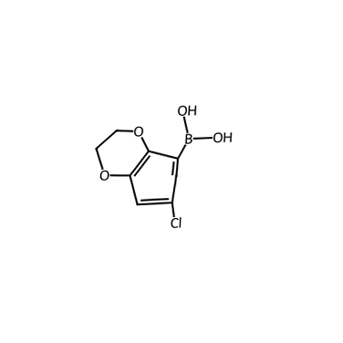 OB(O)c1cc(Cl)cc2c1OCCO2